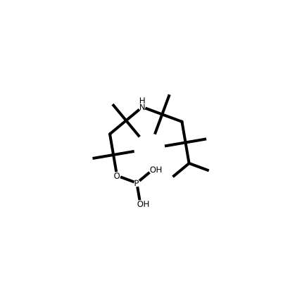 CC(C)C(C)(C)CC(C)(C)NC(C)(C)CC(C)(C)OP(O)O